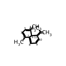 CC1=CC=C(C)C2C1=CC=CC2=C(C)C